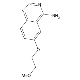 COCCOc1ccc2ncnc(N)c2c1